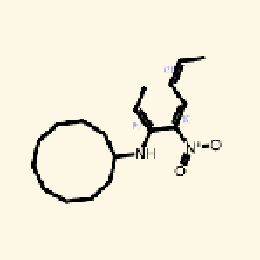 C\C=C/C=C(\C(=C/C)NC1CCCCCCCCC1)[N+](=O)[O-]